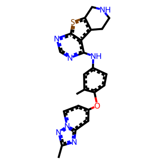 Cc1nc2cc(Oc3ccc(Nc4ncnc5sc6c(c45)CCNC6)cc3C)ccn2n1